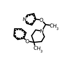 CC(Oc1ccncc1)N1CCC(C)(Oc2ccccc2)CC1